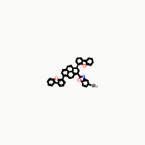 CC(C)(C)c1ccc2oc(-c3cc(-c4cccc5c4oc4ccccc45)c4ccc5ccc(-c6cccc7c6oc6ccccc67)c6ccc3c4c56)nc2c1